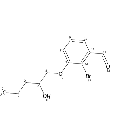 CCCC(O)COc1cccc(C=O)c1Br